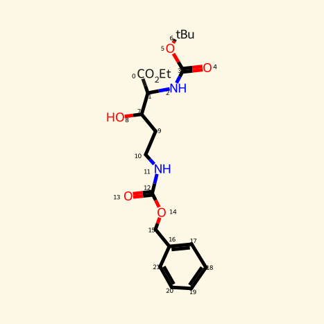 CCOC(=O)C(NC(=O)OC(C)(C)C)C(O)CCNC(=O)OCc1ccccc1